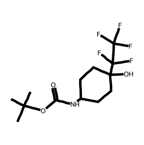 CC(C)(C)OC(=O)NC1CCC(O)(C(F)(F)C(F)(F)F)CC1